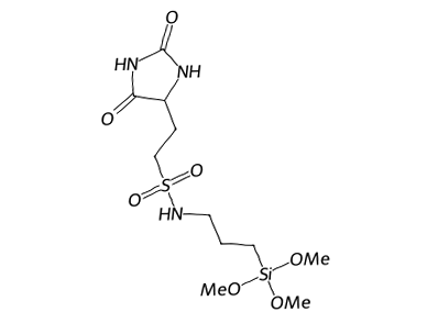 CO[Si](CCCNS(=O)(=O)CCC1NC(=O)NC1=O)(OC)OC